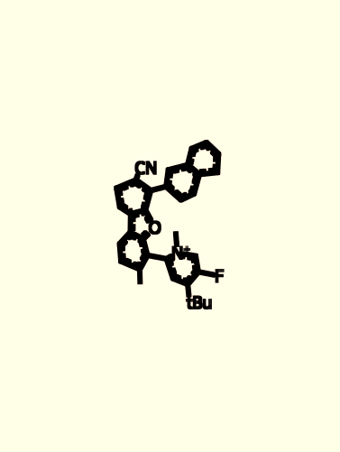 Cc1ccc2c(oc3c(-c4ccc5ccccc5c4)c(C#N)ccc32)c1-c1cc(C(C)(C)C)c(F)c[n+]1C